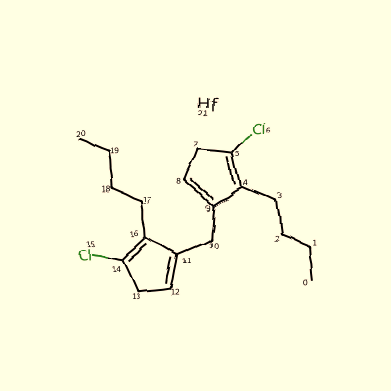 CCCCC1=C(Cl)CC=C1CC1=CCC(Cl)=C1CCCC.[Hf]